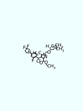 CCOC(=O)c1nn(COCC[Si](C)(C)C)c(C)c1C(Cl)c1ccc(N2CCC(F)(F)C2)cc1F